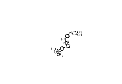 CN(c1ccc(-c2cccn3nc(Nc4ccc(CN5CCS(O)(O)CC5)cc4)nc23)cc1)S(C)(=O)=O